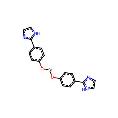 B(Oc1ccc(-c2ncc[nH]2)cc1)Oc1ccc(-c2ncc[nH]2)cc1